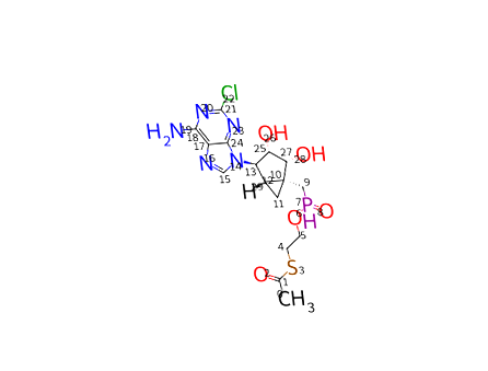 CC(=O)SCCO[PH](=O)C[C@]12C[C@@H]1[C@@H](n1cnc3c(N)nc(Cl)nc31)[C@H](O)[C@@H]2O